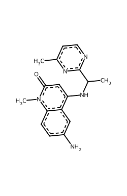 Cc1ccnc(C(C)Nc2cc(=O)n(C)c3ccc(N)cc23)n1